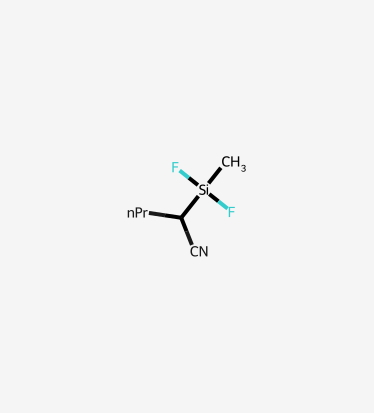 CCCC(C#N)[Si](C)(F)F